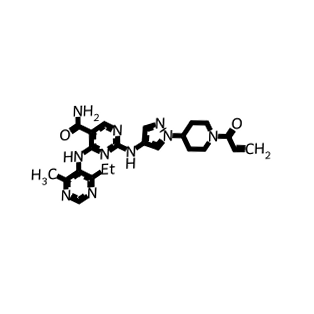 C=CC(=O)N1CCC(n2cc(Nc3ncc(C(N)=O)c(Nc4c(C)ncnc4CC)n3)cn2)CC1